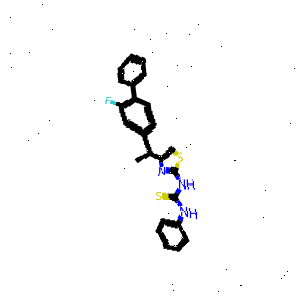 CC(c1ccc(-c2ccccc2)c(F)c1)c1csc(NC(=S)Nc2ccccc2)n1